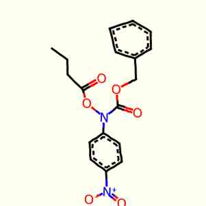 CCCC(=O)ON(C(=O)OCc1ccccc1)c1ccc([N+](=O)[O-])cc1